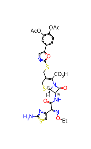 CCON=C(C(=O)N[C@@H]1C(=O)N2C(C(=O)O)=C(CSc3ncc(-c4ccc(OC(C)=O)c(OC(C)=O)c4)o3)CS[C@@H]12)c1csc(N)n1